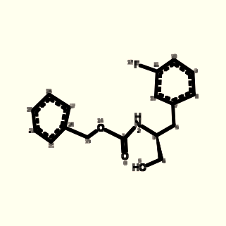 O=C(N[C@H](CO)Cc1cccc(F)c1)OCc1ccccc1